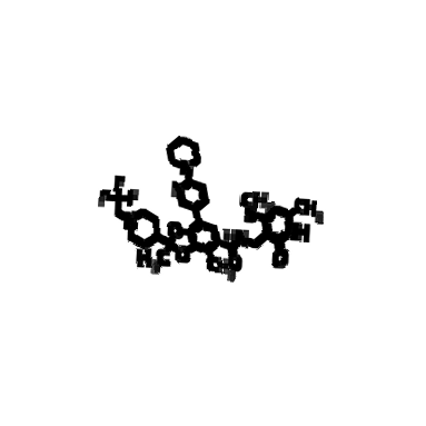 CSc1cc(C)[nH]c(=O)c1CNC(=O)c1cc(-c2ccc(N3CCCCC3)nc2)c2c(c1C)OC(C)(C1CCN(CC(F)(F)F)CC1)O2